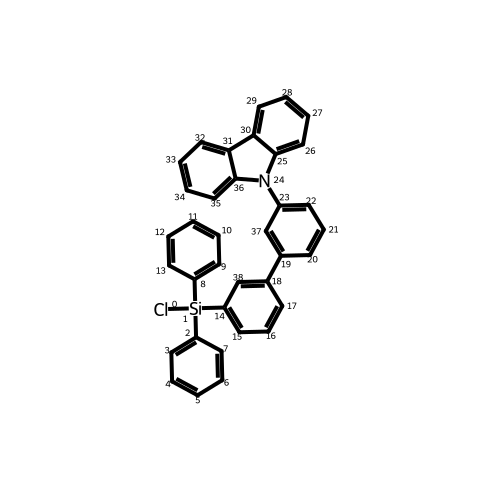 Cl[Si](c1ccccc1)(c1ccccc1)c1cccc(-c2cccc(-n3c4ccccc4c4ccccc43)c2)c1